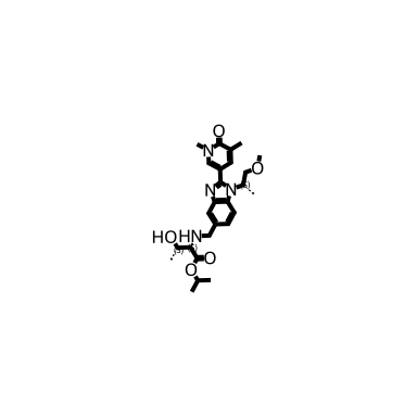 COC[C@H](C)n1c(-c2cc(C)c(=O)n(C)c2)nc2cc(CN[C@H](C(=O)OC(C)C)[C@H](C)O)ccc21